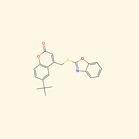 CC(C)(C)c1ccc2oc(=O)cc(CSc3nc4ccccc4o3)c2c1